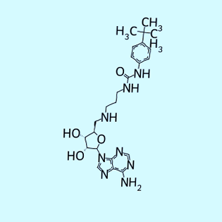 CC(C)(C)c1ccc(NC(=O)NCCCNC[C@H]2OC(n3cnc4c(N)ncnc43)[C@H](O)[C@@H]2O)cc1